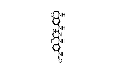 O=CNc1cccc(Nc2nc(Nc3ccc4c(c3)NCCO4)ncc2F)c1